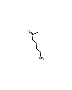 NCCCCC(=O)I